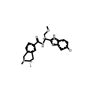 COC[C@H](NC(=O)c1ccc2c(c1)C[C@H](C)N(C)C2)c1nc2cc(Cl)ccc2[nH]1